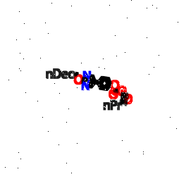 CCCCCCCCCCCOc1ncc(-c2ccc(OC(=O)O[C@H]3O[C@@H]3CCC)cc2)cn1